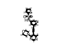 Cc1ncnc(N2CCOCC2)c1C#Cc1cncc(NS(=O)(=O)c2cccs2)c1